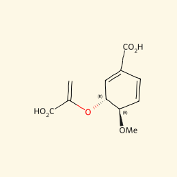 C=C(O[C@@H]1C=C(C(=O)O)C=C[C@H]1OC)C(=O)O